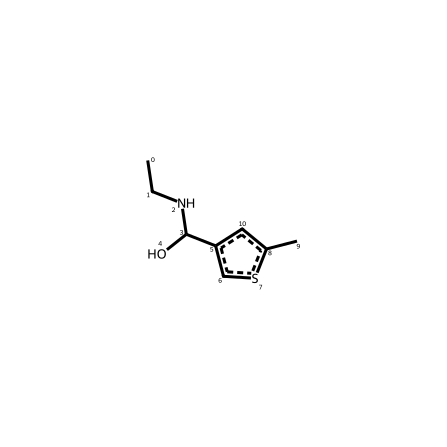 CCNC(O)c1csc(C)c1